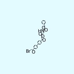 O=C(CNC(=O)OCc1ccccc1)OCC(=O)c1ccc(-c2ccc(C(=O)CBr)cc2)cc1